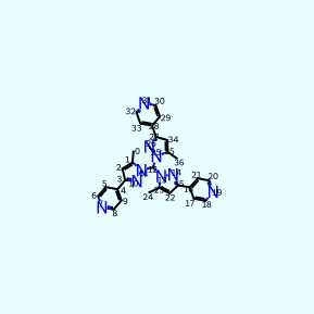 Cc1cc(-c2ccncc2)nn1C(n1nc(-c2ccncc2)cc1C)n1nc(-c2ccncc2)cc1C